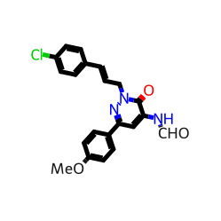 COc1ccc(-c2cc(NC=O)c(=O)n(CC=Cc3ccc(Cl)cc3)n2)cc1